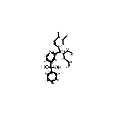 CC/C=C\[C@H](CCC)[C@@H](c1cc(C(O)(O)c2ccccc2)ccn1)C(CC)CCC